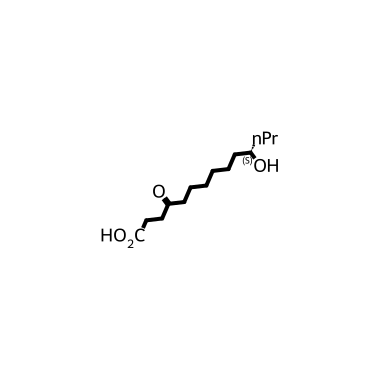 CCC[C@H](O)CCCCCCC(=O)CCC(=O)O